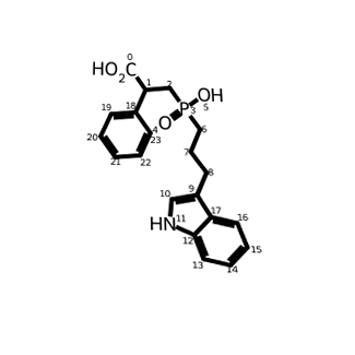 O=C(O)C(CP(=O)(O)CCCc1c[nH]c2ccccc12)c1ccccc1